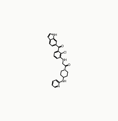 O=C(c1ccc2cc[nH]c2c1)c1cccc(NCC(=O)N2CCC(Nc3ccccn3)CC2)c1Cl